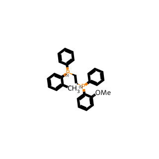 COc1ccccc1[P@](CC[P@](c1ccccc1)c1ccccc1C)c1ccccc1